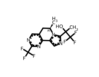 C[C@@H]1Cc2cnc(C(F)(F)F)nc2-c2cnc(C(C)(O)C(F)(F)F)n21